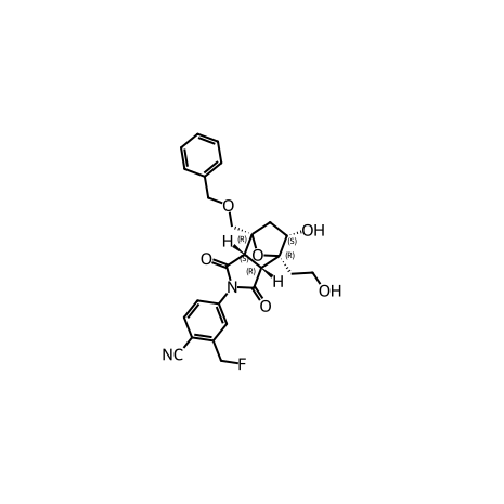 N#Cc1ccc(N2C(=O)[C@@H]3[C@H](C2=O)[C@@]2(COCc4ccccc4)C[C@H](O)[C@]3(CCO)O2)cc1CF